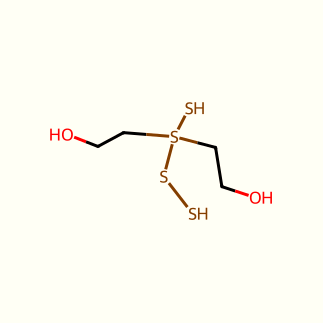 OCCS(S)(CCO)SS